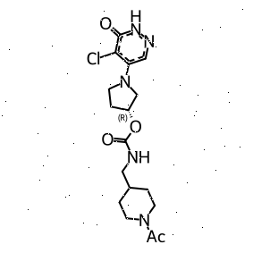 CC(=O)N1CCC(CNC(=O)O[C@@H]2CCN(c3cn[nH]c(=O)c3Cl)C2)CC1